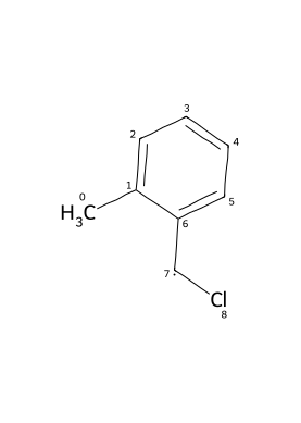 Cc1ccccc1[CH]Cl